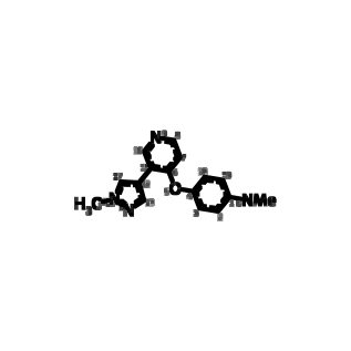 CNc1ccc(Oc2ccncc2-c2cnn(C)c2)cc1